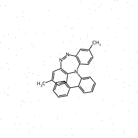 Cc1ccc2c(c1)N=Nc1cc(C)ccc1N2c1ccccc1-c1ccccc1